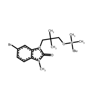 Cn1c(=O)n(CC(C)(C)CO[Si](C)(C)C(C)(C)C)c2cc(Br)ccc21